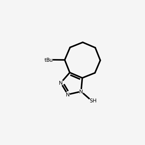 CC(C)(C)C1CCCCCc2c1nnn2S